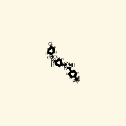 O=S(=O)(Nc1ccc(-c2n[nH]c(-c3ccc(C(F)(F)F)cc3)n2)cc1)c1ccc(Cl)cc1